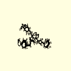 COc1ccc(CC2CC(C(=O)NCC3=Cc4nnn(C)c4CC3)N(C(=O)C3CC(c4ccccn4)CN3)C2)cc1